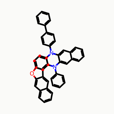 c1ccc(-c2ccc(N(c3ccccc3)c3cc4ccccc4cc3N(c3ccccc3)c3cccc4oc5cc6ccccc6cc5c34)cc2)cc1